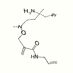 C=CCNC(=O)C(=C)CON(C)CCC(C)(N)CC(C)C